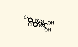 Cn1nc2c(-c3ccc(Cl)cc3Cl)cccc2c1S(=O)(=O)N(CCO)CCO